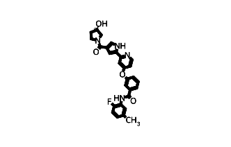 Cc1ccc(F)c(NC(=O)c2cccc(Oc3ccnc(-c4cc(C(=O)N5CC[C@H](O)C5)c[nH]4)c3)c2)c1